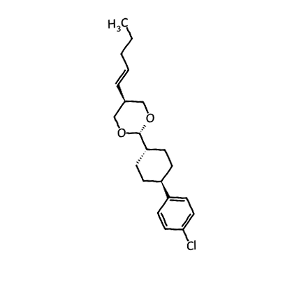 CCC/C=C/[C@H]1CO[C@H]([C@H]2CC[C@H](c3ccc(Cl)cc3)CC2)OC1